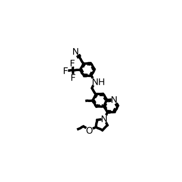 CCOC1CCN(c2ccnc3cc(CNc4ccc(C#N)c(C(F)(F)F)c4)c(C)cc23)C1